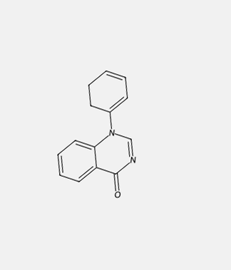 O=c1ncn(C2=CC=CCC2)c2ccccc12